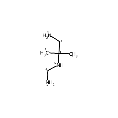 CC(C)(CN)NCN